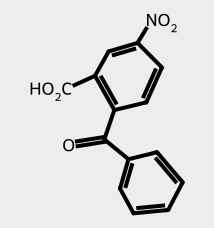 O=C(O)c1cc([N+](=O)[O-])ccc1C(=O)c1ccccc1